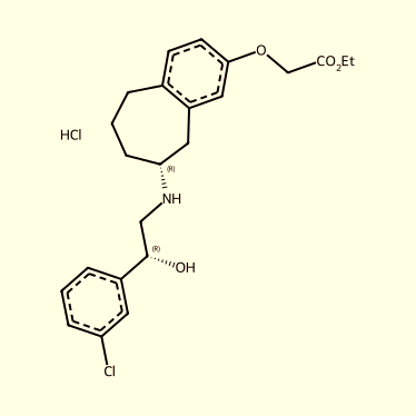 CCOC(=O)COc1ccc2c(c1)C[C@H](NC[C@H](O)c1cccc(Cl)c1)CCC2.Cl